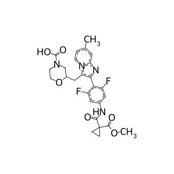 COC(=O)C1(C(=O)Nc2cc(F)c(-c3nc4cc(C)ccn4c3CC3CN(C(=O)O)CCO3)c(F)c2)CC1